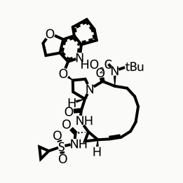 CC(C)(C)N(C(=O)O)[C@H]1CCCCCC=C[C@@H]2C[C@@]2(C(=O)NS(=O)(=O)C2CC2)NC(=O)[C@@H]2C[C@@H](Oc3nc4ccccc4c4c3CCO4)CN2C1=O